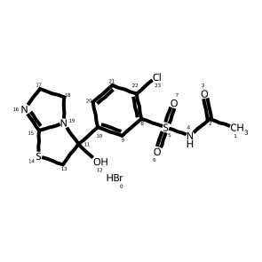 Br.CC(=O)NS(=O)(=O)c1cc(C2(O)CSC3=NCCN32)ccc1Cl